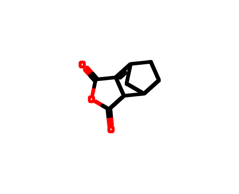 O=C1OC(=O)C2C1=C1CCC2C1